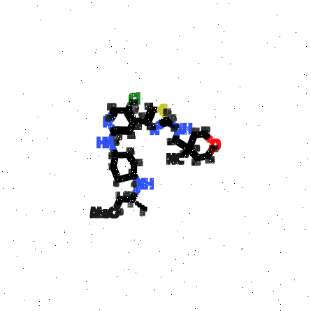 COC[C@@H](C)NC1CCC(Nc2cc(-c3csc(NCC4(C#N)CCOCC4)n3)c(Cl)cn2)CC1